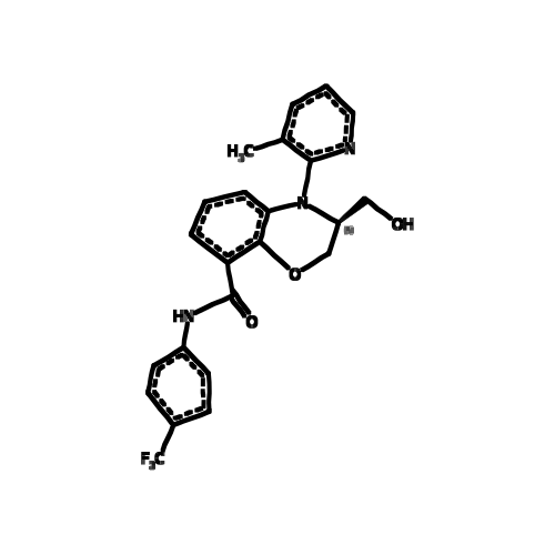 Cc1cccnc1N1c2cccc(C(=O)Nc3ccc(C(F)(F)F)cc3)c2OC[C@@H]1CO